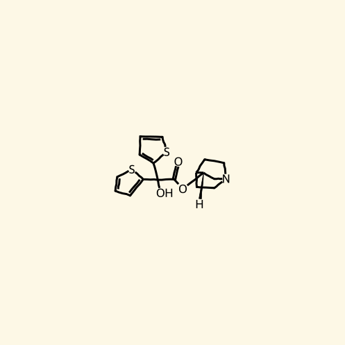 O=C(O[C@H]1CN2CCC1CC2)C(O)(c1cccs1)c1cccs1